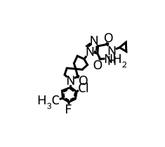 Cc1cc(N2CCC3(CCC(n4cnc(C(=O)NC5CC5)c4C(N)=O)CC3)C2=O)c(Cl)cc1F